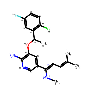 CN/C(=C\C=C(C)C)c1cnc(N)c(OC(C)c2cc(F)ccc2Cl)c1